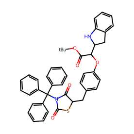 CC(C)(C)OC(=O)C(Oc1ccc(CC2SC(=O)N(C(c3ccccc3)(c3ccccc3)c3ccccc3)C2=O)cc1)C1Cc2ccccc2N1